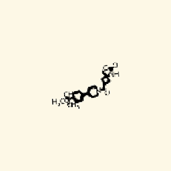 C[Si](C)(C)c1ccc(C2CCN(C(=O)C3CC4(COC(=O)N4)C3)CC2)cc1